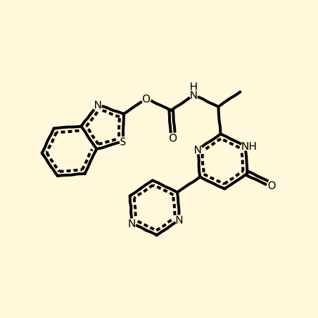 CC(NC(=O)Oc1nc2ccccc2s1)c1nc(-c2ccncn2)cc(=O)[nH]1